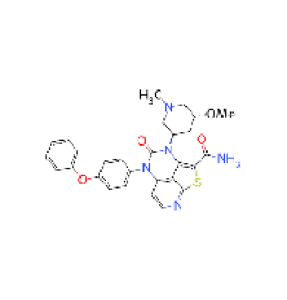 CO[C@@H]1C[C@@H](N2C(=O)N(c3ccc(Oc4ccccc4)cc3)c3ccnc4sc(C(N)=O)c2c34)CN(C)C1